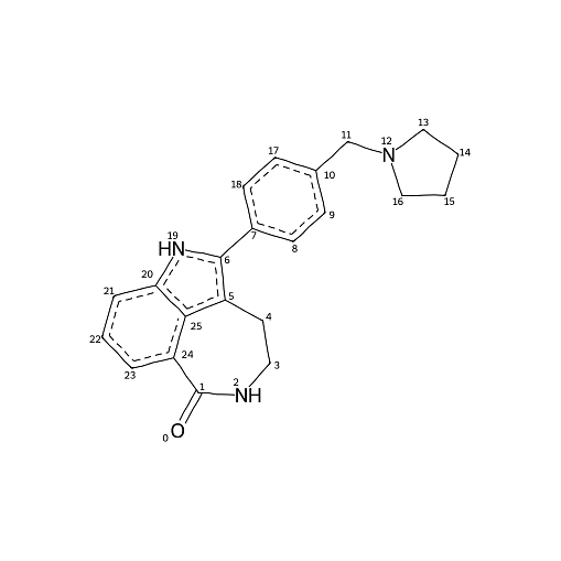 O=C1NCCc2c(-c3ccc(CN4CCCC4)cc3)[nH]c3cccc1c23